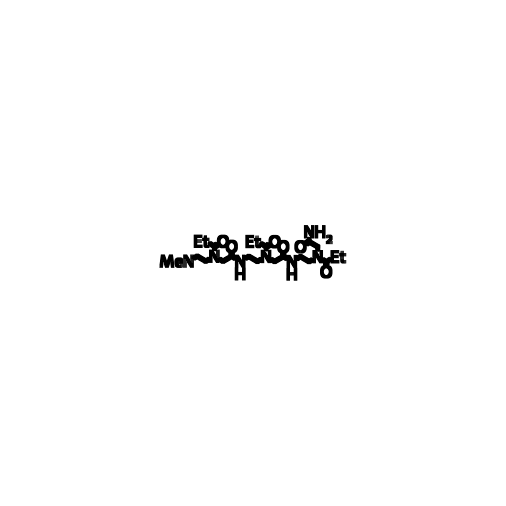 CCC(=O)N(CCNC(=O)CN(CCNC(=O)CN(CCNC)C(=O)CC)C(=O)CC)CC(N)=O